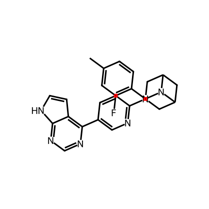 Cc1ccc(CN2C3CC2CN(c2ccc(-c4ncnc5[nH]ccc45)cn2)C3)c(F)c1